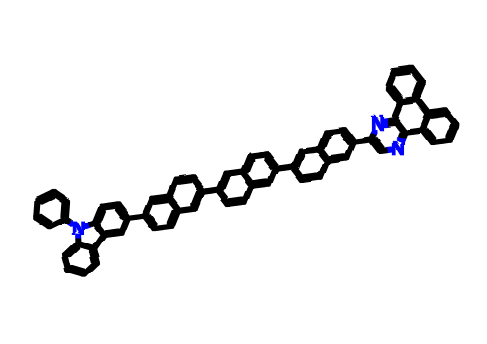 c1ccc(-n2c3ccccc3c3cc(-c4ccc5cc(-c6ccc7cc(-c8ccc9cc(-c%10cnc%11c%12ccccc%12c%12ccccc%12c%11n%10)ccc9c8)ccc7c6)ccc5c4)ccc32)cc1